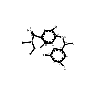 CCN(C)C(=N)c1cc(Br)c(OC(C)c2cc(F)cc(F)c2)nc1C